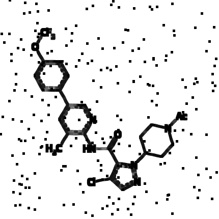 CC(=O)N1CCC(n2ncc(Cl)c2C(=O)Nc2ncc(-c3ccc(OC(F)(F)F)cc3)cc2C)CC1